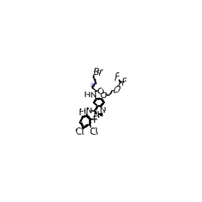 O=C(/C=C/CBr)Nc1cc2c(Nc3ccc(Cl)c(Cl)c3F)ncnc2cc1OCCOC(F)F